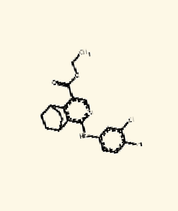 CCOC(=O)c1cnc(Nc2ccc(Cl)c(Cl)c2)c2c1C1CCC2CC1